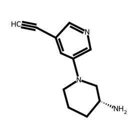 C#Cc1cncc(N2CCC[C@@H](N)C2)c1